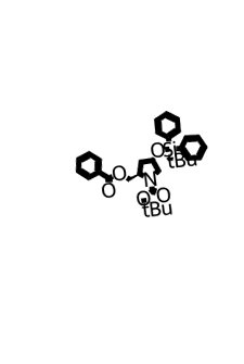 CC(C)(C)OC(=O)N1C[C@H](O[Si](c2ccccc2)(c2ccccc2)C(C)(C)C)C[C@@H]1COC(=O)c1ccccc1